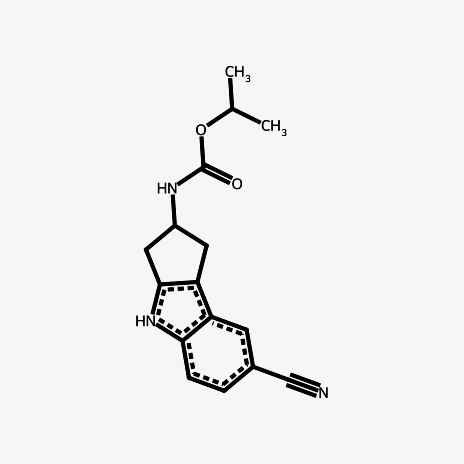 CC(C)OC(=O)NC1Cc2[nH]c3ccc(C#N)cc3c2C1